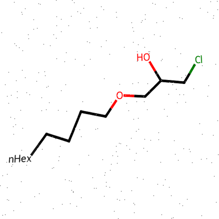 CCCCCCCCCCOCC(O)CCl